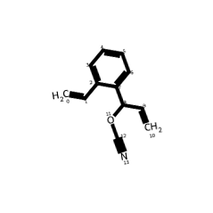 C=Cc1ccccc1C(C=C)OC#N